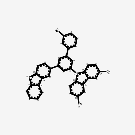 N#Cc1cccc(-c2cc(-c3ccc4sc5ccccc5c4c3)cc(-n3c4ccc(C#N)cc4c4cc(C#N)ccc43)c2)c1